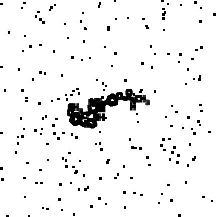 CNC(=O)COc1ccc(-c2nc3c(NC4CCN(Cc5ccc(OC)cc5)C4)c(Cl)cnc3[nH]2)cc1